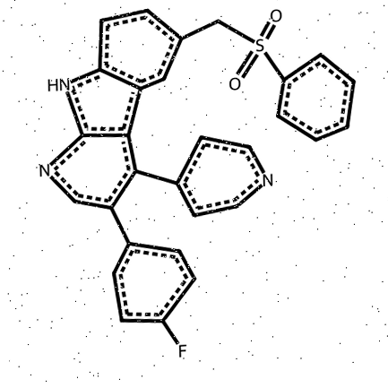 O=S(=O)(Cc1ccc2[nH]c3ncc(-c4ccc(F)cc4)c(-c4ccncc4)c3c2c1)c1ccccc1